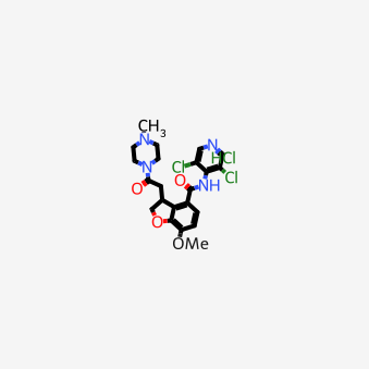 COc1ccc(C(=O)Nc2c(Cl)cncc2Cl)c2c1OCC2CC(=O)N1CCN(C)CC1.Cl